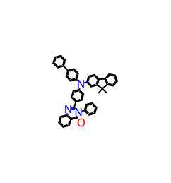 CC1(C)c2ccccc2-c2ccc(N(c3ccc(-c4ccccc4)cc3)c3ccc(-c4nc5ccccc5c(=O)n4-c4ccccc4)cc3)cc21